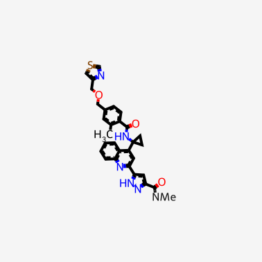 CNC(=O)c1cc(-c2cc(C3(NC(=O)c4ccc(COCc5cscn5)cc4C)CC3)c3ccccc3n2)[nH]n1